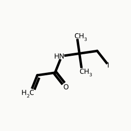 C=CC(=O)NC(C)(C)CI